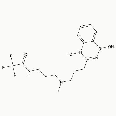 CN(CCCNC(=O)C(F)(F)F)CCCC1=NN(O)c2ccccc2N1O